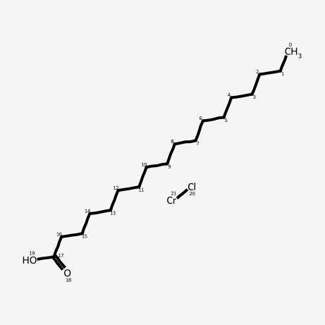 CCCCCCCCCCCCCCCCCC(=O)O.[Cl][Cr]